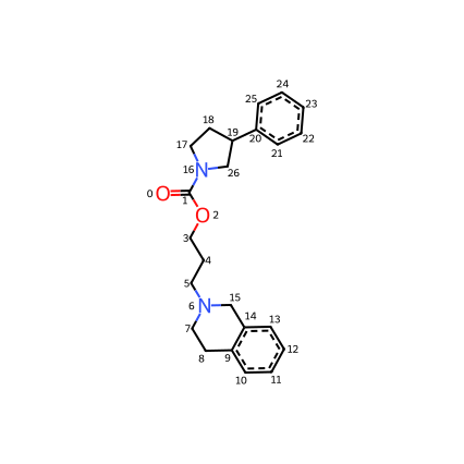 O=C(OCCCN1CCc2ccccc2C1)N1CCC(c2ccccc2)C1